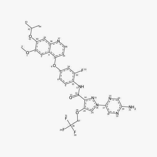 COc1cc2c(Oc3ccc(NC(=O)c4nn(-c5cnc(N)cn5)cc4OCC(F)(F)F)c(F)c3)ccnc2cc1OC(C)C